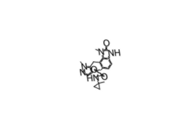 Cn1nccc1Cc1c(S(=O)(=O)NC2(C)CC2)ccc2[nH]c(=O)n(C)c12